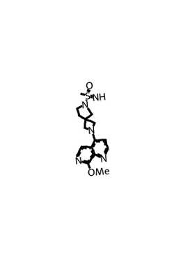 COc1nccc2c(N3CC4(CCN(S(C)(=N)=O)C4)C3)ccnc12